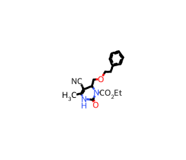 CCOC(=O)N1C(=O)NC(C)=C(C#N)C1COCCc1ccccc1